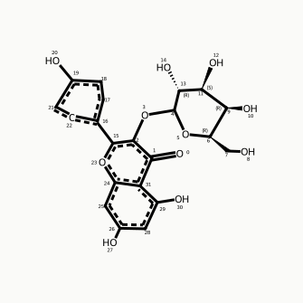 O=c1c(OC2O[C@H](CO)[C@H](O)[C@H](O)[C@H]2O)c(-c2ccc(O)cc2)oc2cc(O)cc(O)c12